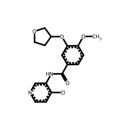 COc1ccc(C(=O)Nc2cnccc2Cl)cc1OC1CCOC1